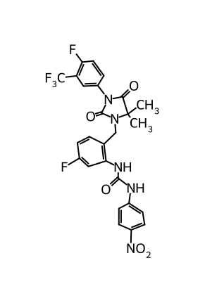 CC1(C)C(=O)N(c2ccc(F)c(C(F)(F)F)c2)C(=O)N1Cc1ccc(F)cc1NC(=O)Nc1ccc([N+](=O)[O-])cc1